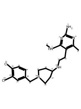 CNc1nc(N)nc(C)c1CCNC1CCN(Cc2ccc(Cl)c(Cl)c2)CC1